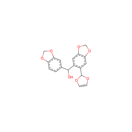 OC(c1ccc2c(c1)OCO2)c1cc2c(cc1C1OC=CO1)OCO2